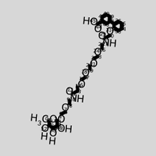 C[C@@H]1O[C@@H](OCCOCCNC(=O)CCOCCOCCOCCOCCNC(=O)COc2ccccc2-c2cccc(C(=O)O)c2)[C@H](O)[C@H](O)[C@H]1O